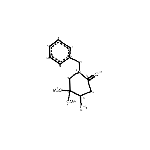 COC1(OC)CN(Cc2ccccc2)C(=O)CC1C